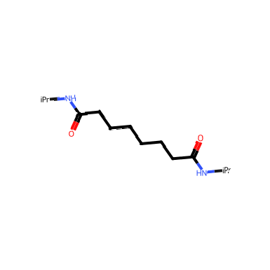 CC(C)NC(=O)CCCCCCC(=O)NC(C)C